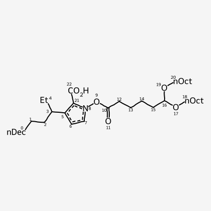 CCCCCCCCCCCCC(CC)c1ccn(OC(=O)CCCCC(OCCCCCCCC)OCCCCCCCC)c1C(=O)O